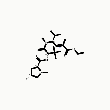 CCOC(=O)/C(C)=C/[C@H](C(C)C)N(C)C(=O)[C@@H](NC(=O)[C@@H]1C[C@@H](C)CN1C)C(C)(C)C